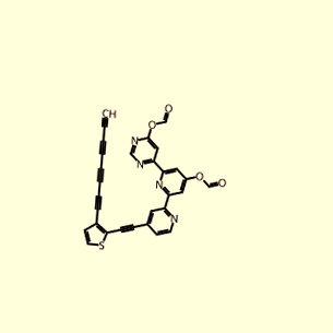 C#CC#CC#CC#Cc1ccsc1C#Cc1ccnc(-c2cc(OC=O)cc(-c3cc(OC=O)ncn3)n2)c1